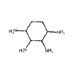 NC1CCC(N)C(N)C1N